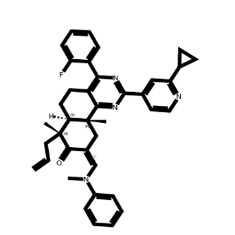 C=CC[C@@]1(C)C(=O)/C(=C\N(C)c2ccccc2)C[C@@]2(C)c3nc(-c4ccnc(C5CC5)c4)nc(-c4ccccc4F)c3CC[C@H]12